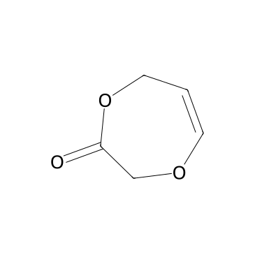 O=C1COC=CCO1